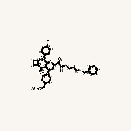 COCC1CCN(c2cc(C(=O)NSCCCOCc3ccccc3)nc(Nc3ccc(F)cc3)c2C(=N)C2CCC2)CC1